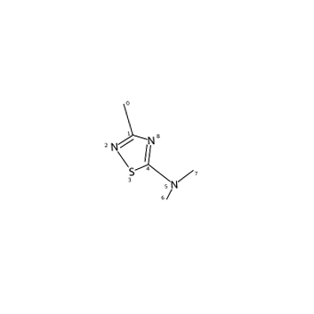 Cc1nsc(N(C)C)n1